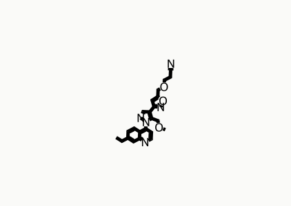 CCc1ccc2c(-n3ncc(-c4cc(COCCC#N)on4)c3COC)ccnc2c1